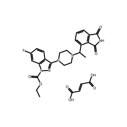 CCOC(=O)n1nc(N2CCN(C(C)c3cccc4c3C(=O)NC4=O)CC2)c2ccc(F)cc21.O=C(O)C=CC(=O)O